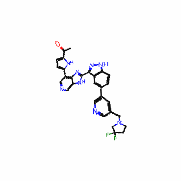 CC(=O)c1ccc(-c2cncc3[nH]c(-c4n[nH]c5ccc(-c6cncc(CN7CCC(F)(F)C7)c6)cc45)nc23)[nH]1